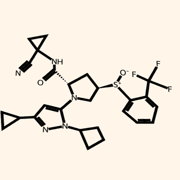 N#CC1(NC(=O)[C@@H]2C[C@@H]([S+]([O-])c3ccccc3C(F)(F)F)CN2c2cc(C3CC3)nn2C2CCC2)CC1